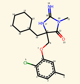 Cc1ccc(Cl)c(OCC2(CC3CCCCC3)NC(=N)N(C)C2=O)c1